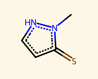 Cn1[nH]ccc1=S